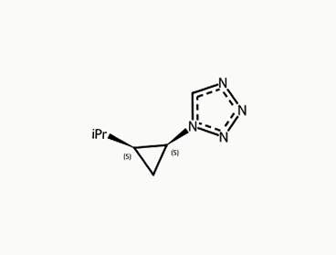 CC(C)[C@@H]1C[C@@H]1n1cnnn1